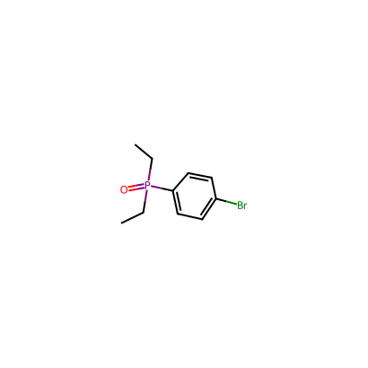 CCP(=O)(CC)c1ccc(Br)cc1